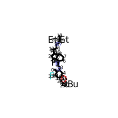 C=C1/C(=C\C=C2/CCC[C@]3(C)C([C@@H](C)C/C=C/C(C)(CC)CC)=CC[C@@H]23)C[C@@H](O[Si](C)(C)C(C)(C)C)C[C@@H]1F